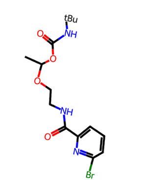 CC(OCCNC(=O)c1cccc(Br)n1)OC(=O)NC(C)(C)C